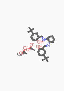 CC(=O)[O-].CC(=O)[O-].CC(C)(C)c1ccc(O)c(C=Nc2ccccc2N=Cc2cc(C(C)(C)C)ccc2O)c1.[Co+2]